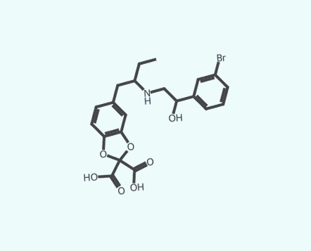 CCC(Cc1ccc2c(c1)OC(C(=O)O)(C(=O)O)O2)NCC(O)c1cccc(Br)c1